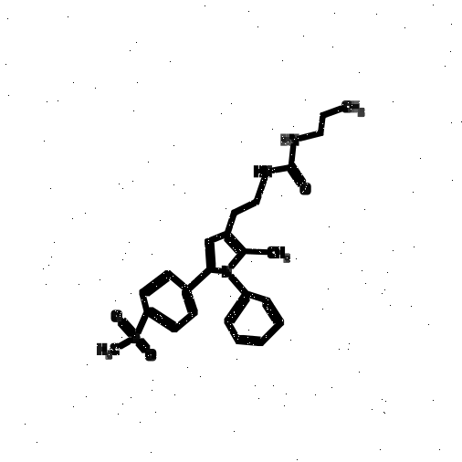 CCCNC(=O)NCCc1cc(-c2ccc(S(C)(=O)=O)cc2)n(-c2ccccc2)c1C